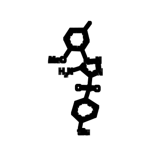 COc1ccc(C)cc1-n1nnc(S(=O)(=O)c2ccc(C(C)(C)C)cc2)c1N